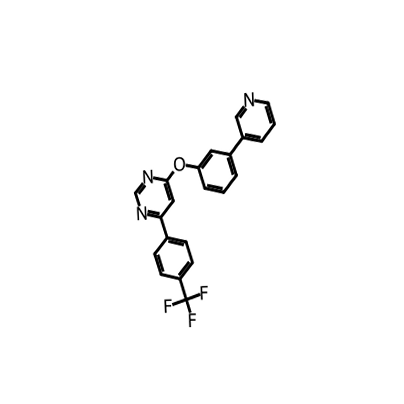 FC(F)(F)c1ccc(-c2cc(Oc3cccc(-c4cccnc4)c3)ncn2)cc1